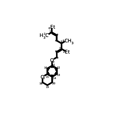 CC/C(C)=C/CC(C)/C(=C/COc1ccc2c(c1)OCCC2)CC